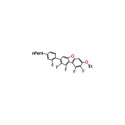 CCCCCc1ccc(-c2cc3oc4cc(OCC)c(F)c(F)c4c3c(F)c2F)c(F)c1